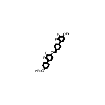 CCCCOC1CC=C(c2ccc(OCC3CCC(c4ccc(OCC)c(F)c4F)CC3)c(F)c2F)CC1